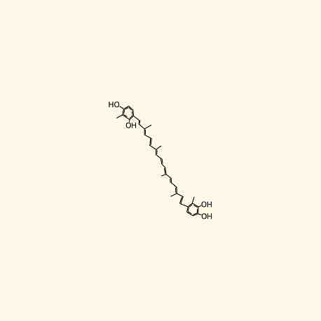 CC(/C=C/C=C(C)/C=C/c1ccc(O)c(O)c1C)=C\C=C\C=C(C)\C=C\C=C(C)\C=C\c1ccc(O)c(C)c1O